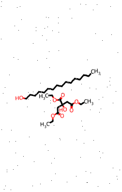 CCCCCCCCCCCCCCCCO.CCOC(=O)CC(O)(CC(=O)OCC)C(=O)OCC